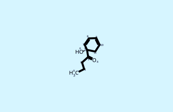 CCCC(=O)[C@@]1(O)C=CC=CC1